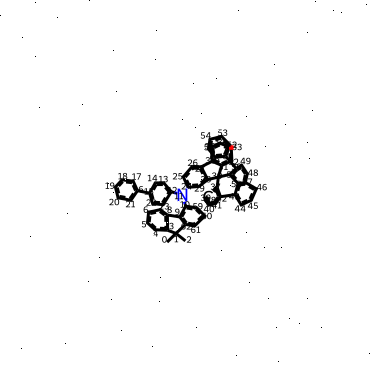 CC1(C)c2ccccc2-c2c(N(c3ccc(-c4ccccc4)cc3)c3ccc4c(c3)C3(c5ccccc5-4)c4ccccc4-c4cccc5ccc(-c6ccccc6)c3c45)cccc21